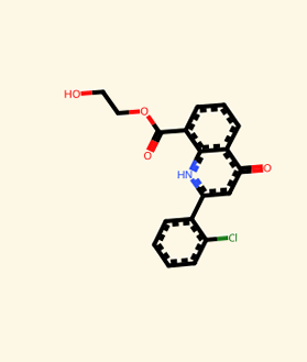 O=C(OCCO)c1cccc2c(=O)cc(-c3ccccc3Cl)[nH]c12